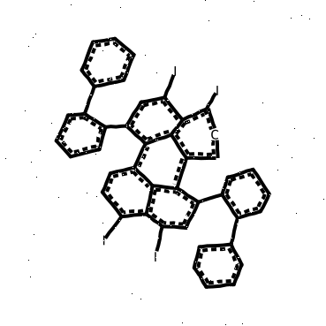 Ic1ccc2c3c(-c4ccccc4-c4ccccc4)cc(I)c4c(I)ccc(c5c(-c6ccccc6-c6ccccc6)cc(I)c1c25)c43